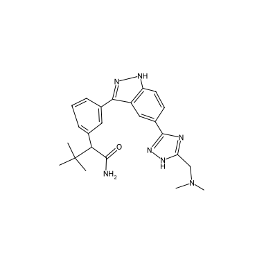 CN(C)Cc1nc(-c2ccc3[nH]nc(-c4cccc(C(C(N)=O)C(C)(C)C)c4)c3c2)n[nH]1